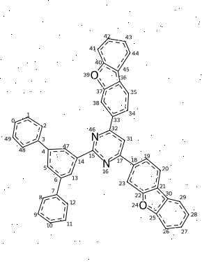 c1ccc(-c2cc(-c3ccccc3)cc(-c3nc(-c4ccc5c(c4)oc4ccccc45)cc(-c4ccc5c(c4)oc4ccccc45)n3)c2)cc1